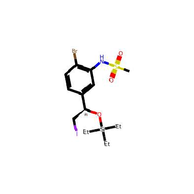 CC[Si](CC)(CC)O[C@@H](CI)c1ccc(Br)c(NS(C)(=O)=O)c1